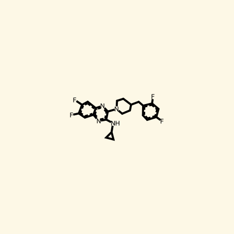 Fc1ccc(CC2CCN(c3nc4cc(F)c(F)cc4nc3NC3CC3)CC2)c(F)c1